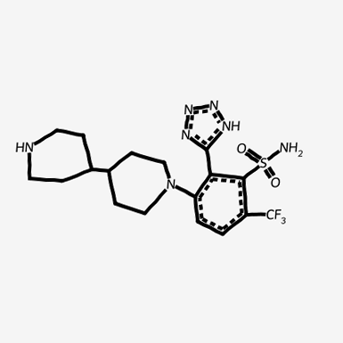 NS(=O)(=O)c1c(C(F)(F)F)ccc(N2CCC(C3CCNCC3)CC2)c1-c1nnn[nH]1